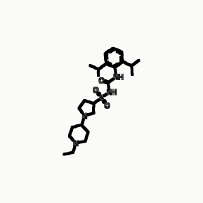 CCN1CCC(N2CCC(S(=O)(=O)NC(=O)Nc3c(C(C)C)cccc3C(C)C)C2)CC1